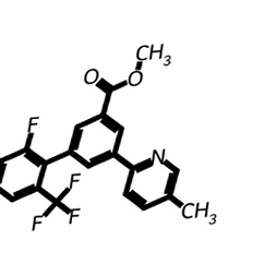 COC(=O)c1cc(-c2ccc(C)cn2)cc(-c2c(F)cccc2C(F)(F)F)c1